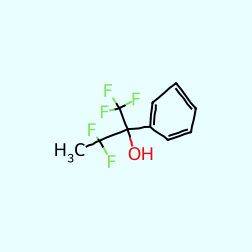 CC(F)(F)C(O)(c1ccccc1)C(F)(F)F